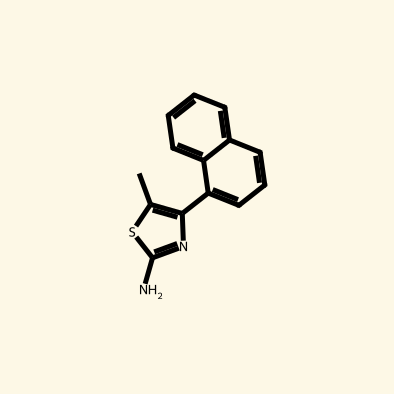 Cc1sc(N)nc1-c1cccc2ccccc12